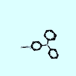 BF.c1ccc(N(c2ccccc2)c2ccccc2)cc1